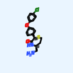 NC[C@@H]1CCS[C@H](c2ccc(Oc3ccc(Cl)cc3)cc2)C(=O)N1